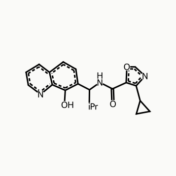 CC(C)C(NC(=O)c1ocnc1C1CC1)c1ccc2cccnc2c1O